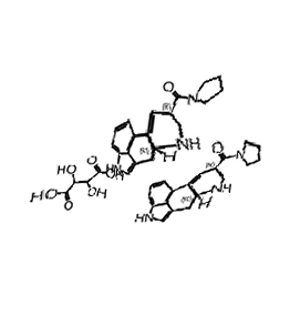 O=C(O)C(O)C(O)C(=O)O.O=C([C@@H]1C=C2c3cccc4[nH]cc(c34)C[C@H]2NC1)N1CCCC1.O=C([C@@H]1C=C2c3cccc4[nH]cc(c34)C[C@H]2NC1)N1CCCC1